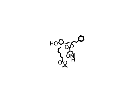 CC(C)OC(=O)CCC/C=C\C[C@@H]1[C@@H](CC[C@H](CCc2ccccc2)OC(=O)C(CO)CO)CC[C@@H]1O